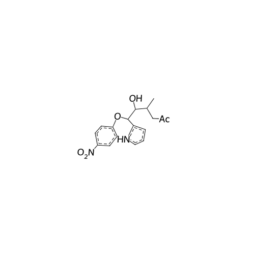 CC(=O)CC(C)C(O)C(Oc1ccc([N+](=O)[O-])cc1)c1ccc[nH]1